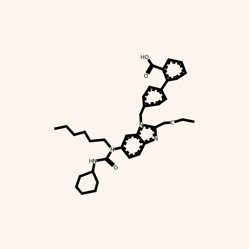 CCCCCCN(C(=O)NC1CCCCC1)c1ccc2nc(CCCC)n(Cc3ccc(-c4ccccc4C(=O)O)cc3)c2c1